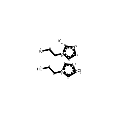 Cl.Cl.OCCn1ccnc1.OCCn1ccnc1